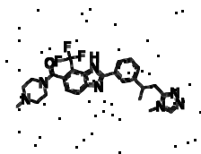 CC(Cc1nncn1C)c1cccc(-c2nc3ccc(C(=O)N4CCN(C)CC4)c(C(F)(F)F)c3[nH]2)c1